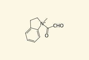 C[N+]1(C(=O)C=O)CCc2ccccc21